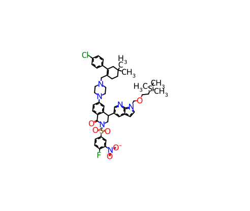 CC1(C)CCC(CN2CCN(c3ccc4c(c3)C(c3cnc5c(ccn5COCC[Si](C)(C)C)c3)CN(S(=O)(=O)c3ccc(F)c([N+](=O)[O-])c3)C4=O)CC2)=C(c2ccc(Cl)cc2)C1